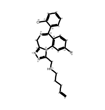 C=CCCCNCc1nnc2n1-c1cc(Br)ccc1C(c1ccccc1Cl)=NC2